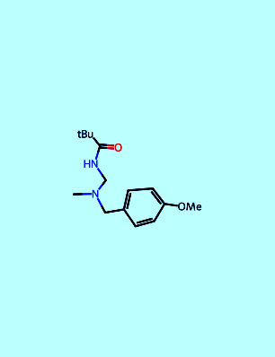 COc1ccc(CN(C)CNC(=O)C(C)(C)C)cc1